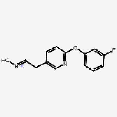 O/N=[C]/Cc1ccc(Oc2cccc(F)c2)nc1